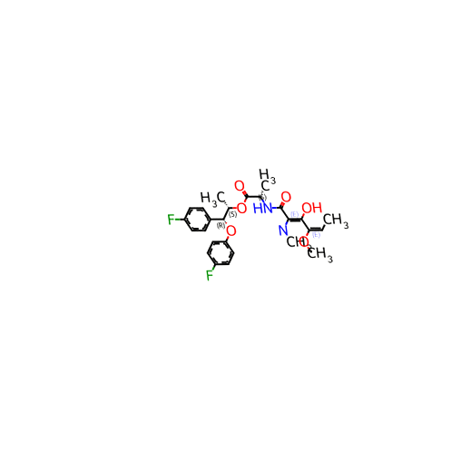 C=N/C(C(=O)N[C@@H](C)C(=O)O[C@@H](C)[C@H](Oc1ccc(F)cc1)c1ccc(F)cc1)=C(O)\C(=C/C)OC